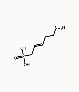 O=C(O)CCC=CCP(=O)(O)O